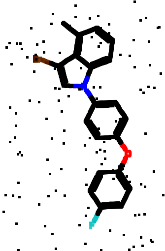 Cc1cccc2c1c(Br)cn2-c1ccc(Oc2ccc(F)cc2)cc1